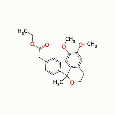 CCOC(=O)Cc1ccc(C2(C)OCCc3cc(OC)c(OC)cc32)cc1